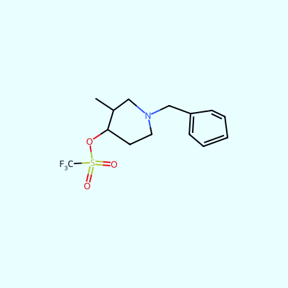 CC1CN(Cc2ccccc2)CCC1OS(=O)(=O)C(F)(F)F